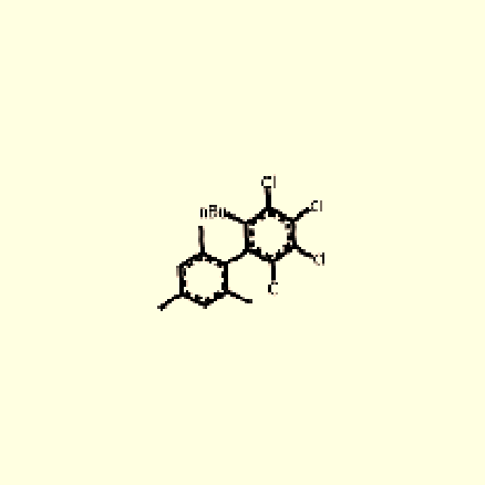 [CH2]CCCc1c(Cl)c(Cl)c(Cl)c(Cl)c1-c1c(C)cc(C)cc1C